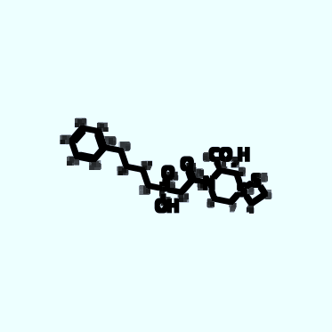 O=C(O)[C@H]1CS2(CCS2)CCN1C(=O)CP(=O)(O)CCCCc1ccccc1